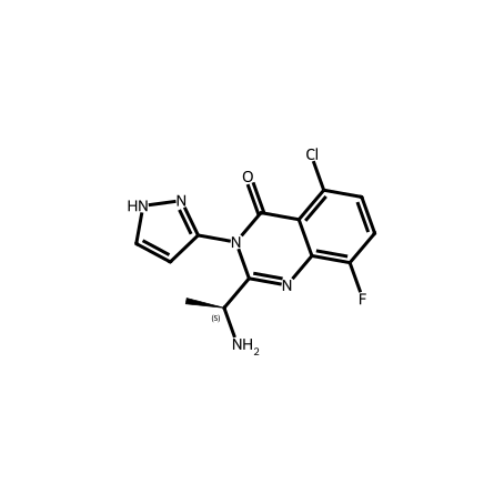 C[C@H](N)c1nc2c(F)ccc(Cl)c2c(=O)n1-c1cc[nH]n1